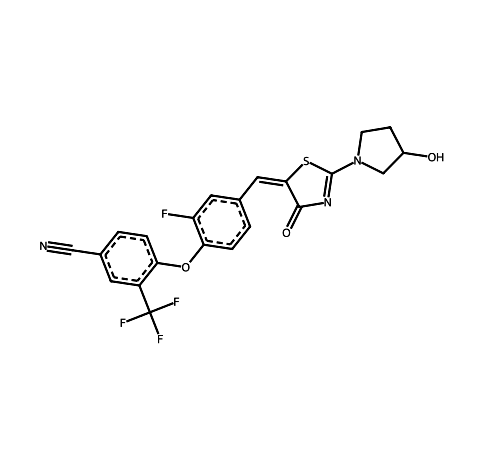 N#Cc1ccc(Oc2ccc(C=C3SC(N4CCC(O)C4)=NC3=O)cc2F)c(C(F)(F)F)c1